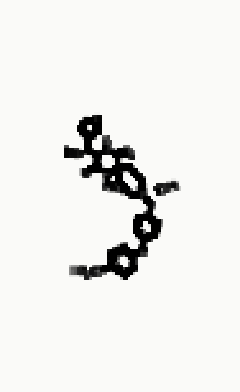 CCCCN1C(=O)[C@@H]([C@H](O)c2ccoc2)NC(=O)C12CCN(Cc1ccc(Oc3ccc(C(=O)O)cc3)cc1)CC2.Cl